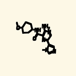 CO[C@H]1CC[C@H](NC(=O)c2nc(-c3cncn3C)cnc2N)CC1